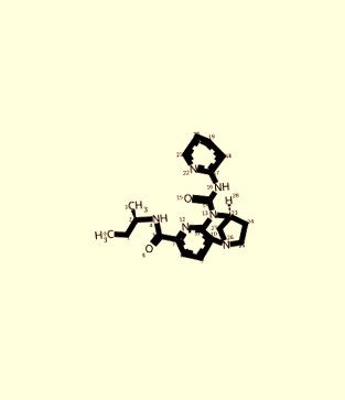 CC[C@@H](C)NC(=O)c1ccc2c(n1)N(C(=O)Nc1ccccn1)[C@H]1CCN2C1